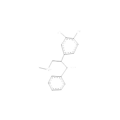 CNCC(c1ccc(Br)c(Cl)c1)[C@H](O)c1ccccc1